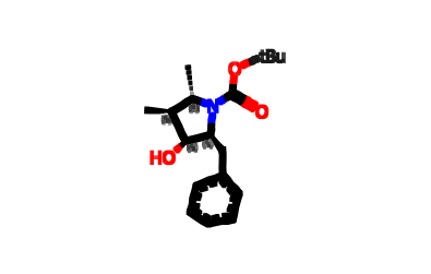 C[C@@H]1[C@H](O)[C@H](Cc2ccccc2)N(C(=O)OC(C)(C)C)[C@H]1C